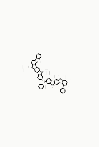 CC1(C)c2cc(N(c3ccccc3)c3ccc4c(c3)C(C)(C)c3cc5c(cc3-4)C(C)(C)c3ccc4oc6ccccc6c4c3-5)ccc2-c2cc3c(cc21)-c1c(ccc2c1oc1ccccc12)C3(C)C